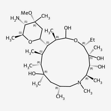 CC[C@H]1OC(O)[C@H](C)[C@@H](C2C[C@@](C)(OC)[C@@H](N)[C@H](C)O2)[C@H](C)[C@@H](C)[C@](C)(O)C[C@@H](C)CN(C)[C@H](C)[C@@H](O)[C@]1(C)O